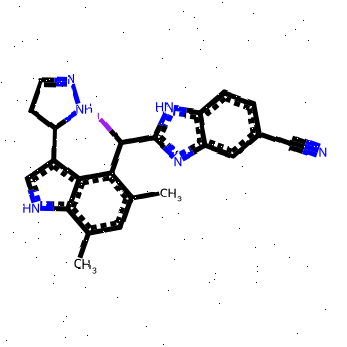 Cc1cc(C)c2[nH]cc(C3CC=NN3)c2c1C(I)c1nc2cc(C#N)ccc2[nH]1